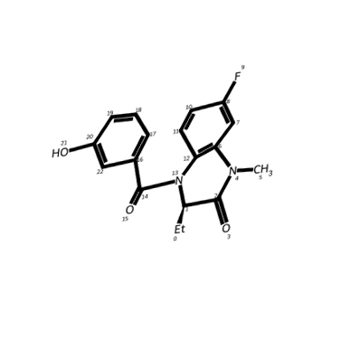 CC[C@@H]1C(=O)N(C)c2cc(F)ccc2N1C(=O)c1cccc(O)c1